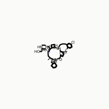 CO[C@]1(CN2CCN[C@H](CO)C2)/C=C/C[C@H](C)[C@H](Cc2ccccc2)S(=O)(=O)NC(=O)c2ccc3c(c2)N(CCCCc2cc(Cl)ccc2CO3)C[C@@H]2CC[C@H]21